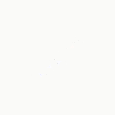 Cc1ccc(N2CCN(c3cccc(CO[Si]4(C)CC4(C)C)c3F)CC2)cn1